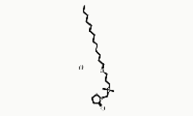 CCCCCCCCCCCCCOCCC[N+](C)(C)CN1CCCC1=O.[Cl-]